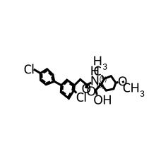 COC1CC[C@@](NC(=O)Cc2cc(-c3ccc(Cl)cc3)ccc2Cl)(C(=O)O)[C@@H](C)C1